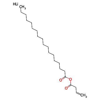 C=CCC(=O)OC(=O)CCCCCCCCCCCCCCCCC.[LiH]